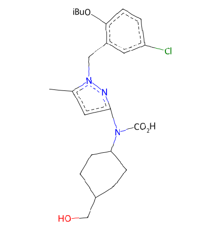 Cc1cc(N(C(=O)O)C2CCC(CO)CC2)nn1Cc1cc(Cl)ccc1OCC(C)C